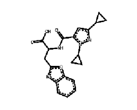 O=C(NC(Cc1nc2ccccc2o1)C(=O)O)c1cc(C2CC2)nn1C1CC1